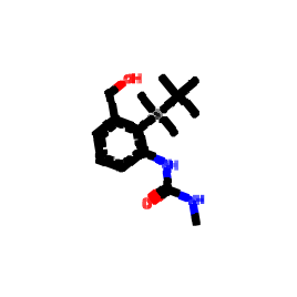 CNC(=O)Nc1cccc(CO)c1[Si](C)(C)C(C)(C)C